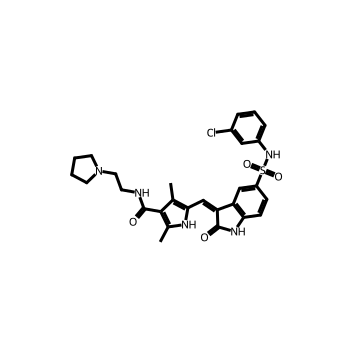 Cc1[nH]c(C=C2C(=O)Nc3ccc(S(=O)(=O)Nc4cccc(Cl)c4)cc32)c(C)c1C(=O)NCCN1CCCC1